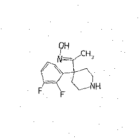 CC(=NO)C1(c2cccc(F)c2F)CCNCC1